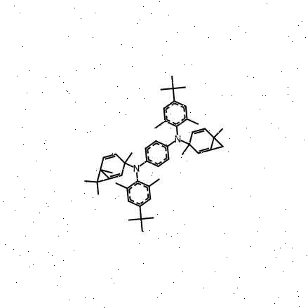 Cc1cc(C(C)(C)C)cc(C)c1N(c1ccc(N(c2c(C)cc(C(C)(C)C)cc2C)C2(C)C=CC3(C)C(=C2)C3(C)C)cc1)C1(C)C=CC2(C)CC2=C1